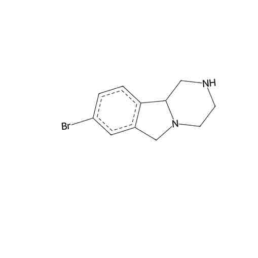 Brc1ccc2c(c1)CN1CCNCC21